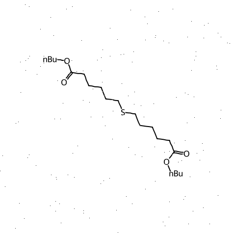 CCCCOC(=O)CCCCCSCCCCCC(=O)OCCCC